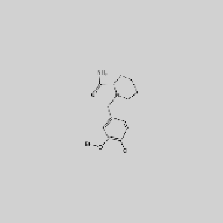 CCOc1cc(CN2CC[CH]CC2C(N)=O)ccc1Cl